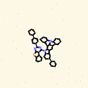 c1ccc(-c2ccc(-c3nc(-n4c5ccc(-c6ccccc6)cc5c5cc6c7ccccc7n7c8ccccc8c(c54)c67)c4c(n3)sc3ccccc34)cc2)cc1